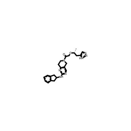 C[C@H](Cc1cnn[nH]1)OCC(=O)N1CCc2nc(NC3Cc4ccccc4C3)ncc2C1